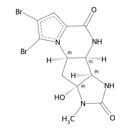 CN1C(=O)N[C@@H]2[C@@H]3NC(=O)c4cc(Br)c(Br)n4[C@@H]3C[C@@]21O